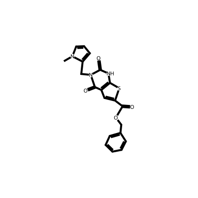 Cn1cccc1Cn1c(=O)[nH]c2sc(C(=O)OCc3ccccc3)cc2c1=O